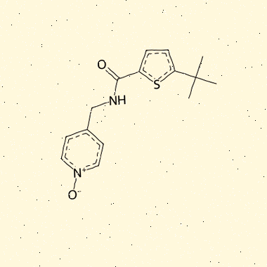 CC(C)(C)c1ccc(C(=O)NCc2cc[n+]([O-])cc2)s1